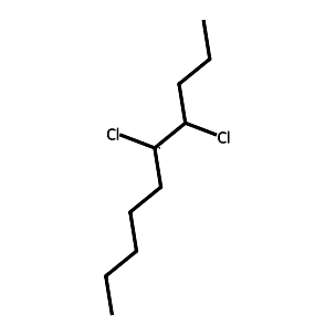 CCCCC[C](Cl)C(Cl)CCC